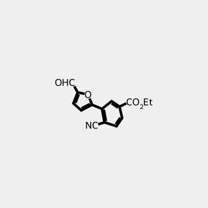 CCOC(=O)c1ccc(C#N)c(-c2ccc(C=O)o2)c1